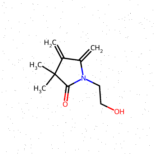 C=C1C(=C)C(C)(C)C(=O)N1CCO